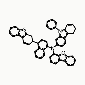 C1=Cc2c(c3ccc(N(c4ccc(C5C=Cc6c(sc7ccccc67)C5)c5ccccc45)c4cccc5c4oc4ccccc45)cc3n2-c2ccccc2)CC1